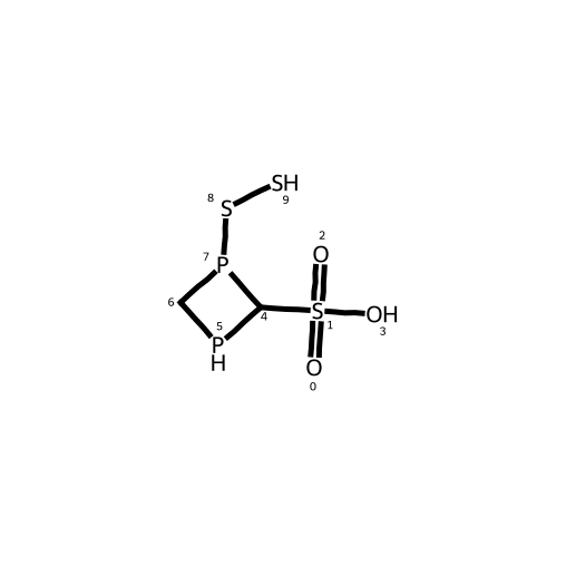 O=S(=O)(O)C1PCP1SS